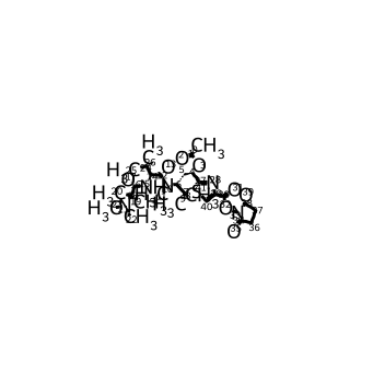 CC(=O)O[C@H](C[C@H](C(C)C)N(C)C(=O)[C@@H](NC(=O)C(C)(C)N(C)C)C(C)C)c1nc(C(=O)ON2C(=O)CCC2=O)cs1